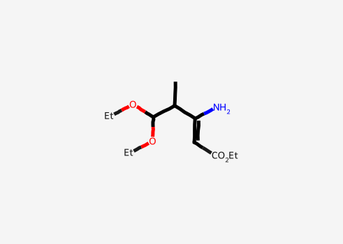 CCOC(=O)/C=C(\N)C(C)C(OCC)OCC